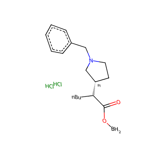 BOC(=O)C(CCCC)[C@H]1CCN(Cc2ccccc2)C1.Cl.Cl